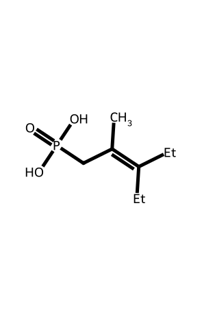 CCC(CC)=C(C)CP(=O)(O)O